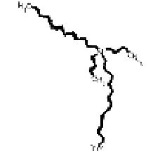 CCCCCCCCCCCC[N+](CCCC)(CCCC)CCCCCCCCCCCC